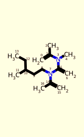 C=C(C)N(C)C(=C)N(CCC(C)CC)C(=C)C